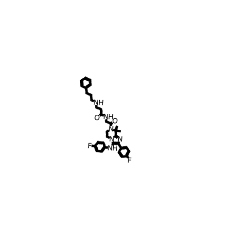 CC1(C)c2nc(-c3ccc(F)cc3)c(Nc3ccc(F)cc3)n2CCN1C(=O)CNC(=O)CCNCCCc1ccccc1